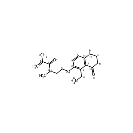 C=C(C)C(=O)N(C)CCOc1ccc2c(c1CN)C(=O)CCN2